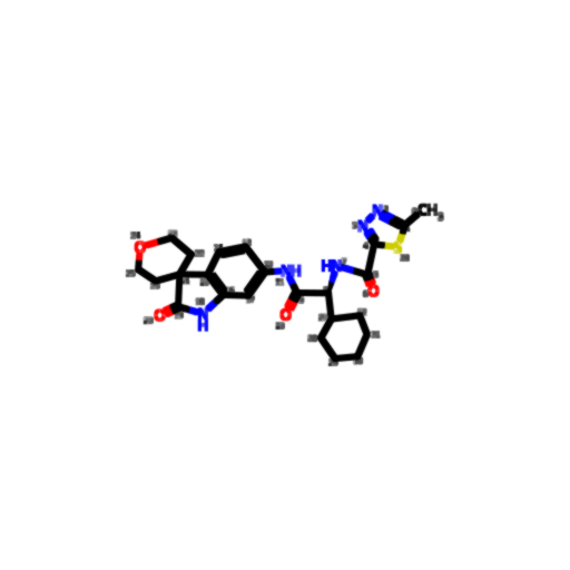 Cc1nnc(C(=O)N[C@H](C(=O)Nc2ccc3c(c2)NC(=O)C32CCOCC2)C2CCCCC2)s1